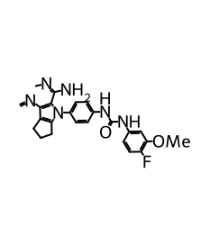 C=Nc1c2c(n(-c3ccc(NC(=O)Nc4ccc(F)c(OC)c4)cc3)c1/C(N)=N\C)CCC2